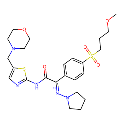 COCCCS(=O)(=O)c1ccc(/C(=N\N2CCCC2)C(=O)Nc2ncc(CN3CCOCC3)s2)cc1